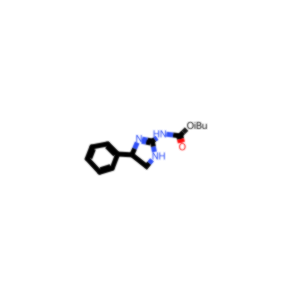 CC(C)COC(=O)NC1=NC(c2ccccc2)CN1